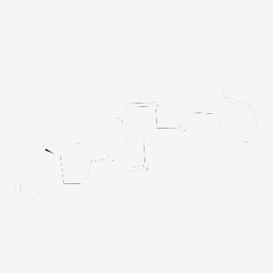 OC[C@H]1OC(n2cnc3c(NCc4ccccc4Cl)ncnc32)C[C@@H]1O